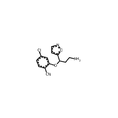 N#Cc1ccc(Cl)cc1OC(CCN)c1ccno1